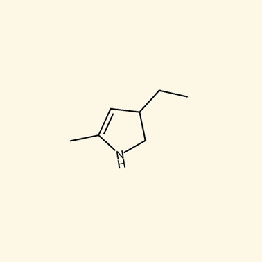 CCC1C=C(C)NC1